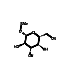 CNO[C@@H]1O[C@H](CO)[C@H](O)[C@H](O)[C@H]1O